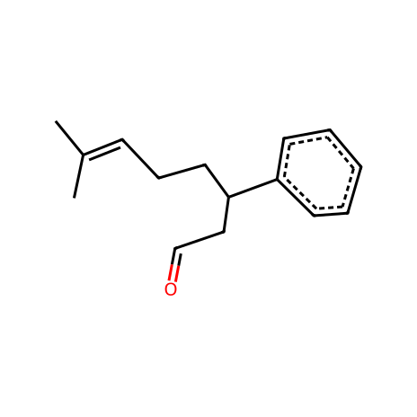 CC(C)=CCCC(CC=O)c1ccccc1